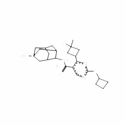 O=C(N[C@H]1C2CC3CC1C[C@@](O)(C3)C2)c1cnc(OC2CCC2)nc1C1CC(F)(F)C1